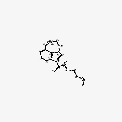 COCCCNC(=O)c1cn2c3c1CCC=C3CNCC2